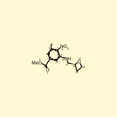 COC(=O)c1cc(C)c([N+](=O)[O-])c(NC[C@@H]2CCO2)c1